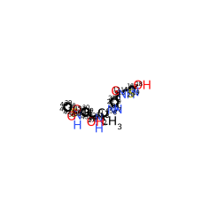 CC(C)(CCn1cnc2cc(C(=O)NCc3cc(O)ns3)ccc21)NC[C@H](O)c1cccc(NS(=O)(=O)c2ccccc2)c1